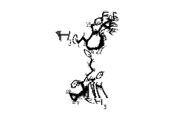 CCCc1c(OCCCCN2C(=O)NC(C)(C3CC3)C2=O)ccc2c1COC2(C(F)(F)F)C(F)(F)F